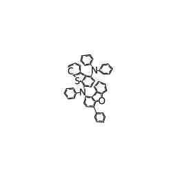 c1ccc(-c2ccc(N(c3ccccc3)c3ccc(N(c4ccccc4)c4ccccc4)c4c3sc3ccccc34)c3c2oc2ccccc23)cc1